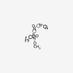 CCOCCn1c(=O)n(C2CCN(C(=O)C3CCN(Cc4ccncc4)CC3)CC2)c2ccc(C(F)(F)F)cc21